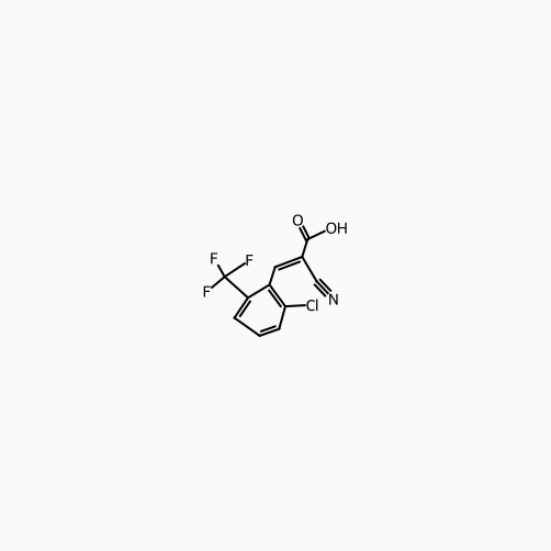 N#CC(=Cc1c(Cl)cccc1C(F)(F)F)C(=O)O